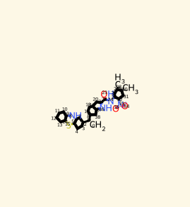 C=C(c1ccc2c(c1)Nc1ccccc1S2)c1ccc2cc(C(=O)Nc3cc(C)c(C)cc3[N+](=O)[O-])[nH]c2c1